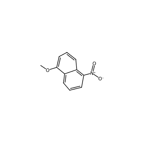 COc1cccc2c([N+](=O)[O-])cccc12